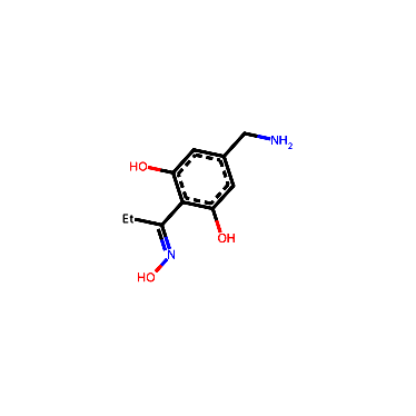 CCC(=NO)c1c(O)cc(CN)cc1O